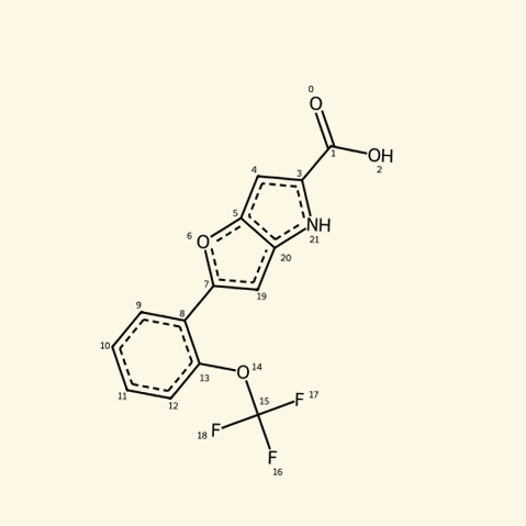 O=C(O)c1cc2oc(-c3ccccc3OC(F)(F)F)cc2[nH]1